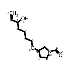 C=CC(O)CCCCOC1CCN(C=O)C1